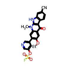 CCOc1cc2c(=O)c3c4ccc(C#N)cc4[nH]c3n(C)c2cc1-c1cncc(OS(=O)(=O)F)c1